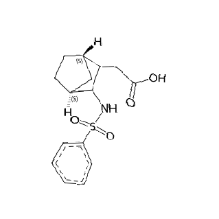 O=C(O)CC1C(NS(=O)(=O)c2ccccc2)[C@H]2CC[C@H]1C2